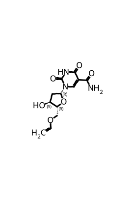 C=COC[C@H]1O[C@@H](n2cc(C(N)=O)c(=O)[nH]c2=O)C[C@@H]1O